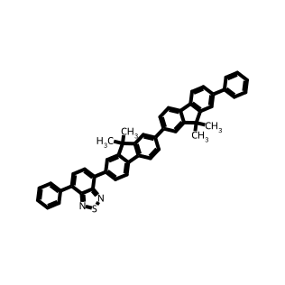 CC1(C)c2cc(-c3ccccc3)ccc2-c2ccc(-c3ccc4c(c3)C(C)(C)c3cc(-c5ccc(-c6ccccc6)c6nsnc56)ccc3-4)cc21